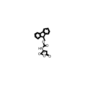 O=C1C[C@H](NC(=O)OCC2c3ccccc3-c3ccccc32)C(=O)O1